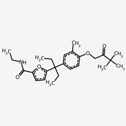 CCNC(=O)c1ccc(C(CC)(CC)c2ccc(OCC(=O)C(C)(C)C)c(C)c2)o1